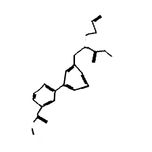 C=CCC[C@@H](Cc1cccc(-c2cccc(C(=O)OC(C)(C)C)c2)c1)C(=O)CC(C)(C)C